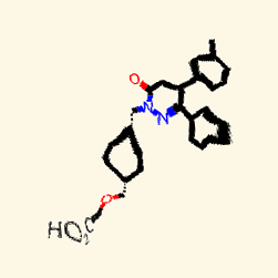 Cc1cccc(-c2cc(=O)n(C[C@H]3CC[C@@H](COCC(=O)O)CC3)nc2-c2ccccc2)c1